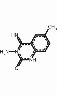 Cc1ccc2[nH]c(=O)n(N)c(=N)c2c1